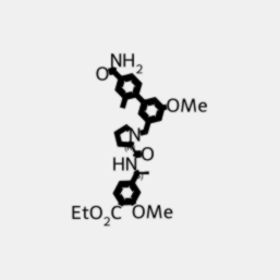 CCOC(=O)c1ccc([C@H](C)NC(=O)[C@H]2CCCN2Cc2cc(OC)cc(-c3ccc(C(N)=O)cc3C)c2)cc1OC